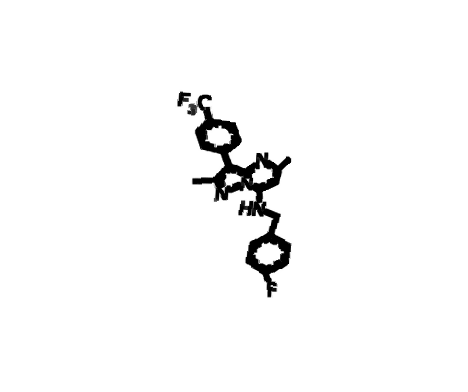 Cc1cc(NCc2ccc(F)cc2)n2nc(C)c(-c3ccc(C(F)(F)F)cc3)c2n1